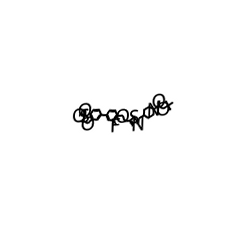 CC(C)(C)OC(=O)N1CCC(c2ncc(COc3ccc(-c4ccc5c(c4)OCS5(=O)=O)cc3F)s2)CC1